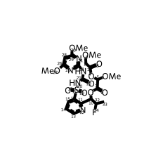 COCC(=O)OC(OC)C(=O)OC(c1ncccc1S(=O)(=O)NC(=O)Nc1nc(OC)cc(OC)n1)C(C)F